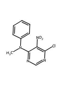 CN(c1ccccc1)c1ncnc(Cl)c1[N+](=O)[O-]